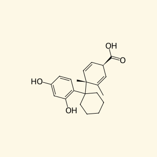 CC1=C[C@H](C(=O)O)C=C[C@@]1(C)C1(c2ccc(O)cc2O)CCCCC1